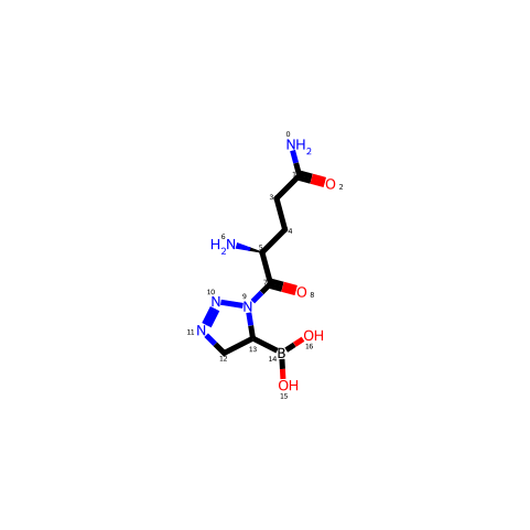 NC(=O)CC[C@H](N)C(=O)N1N=NCC1B(O)O